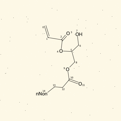 C=CC(=O)OC(CO)COC(=O)CCCCCCCCCCC